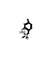 Cc1ccc(CS(C)(=N)=O)c(F)c1